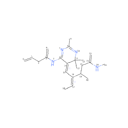 C=CCC(=C)NC1=NC(C)=NC(C)(C)/C1=C\C(=C/C)C(C)CC(=C)NC